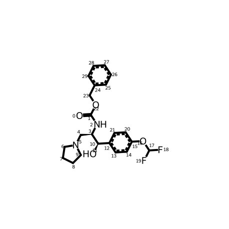 O=C(N[C@H](CN1CCCC1)[C@H](O)c1ccc(OC(F)F)cc1)OCc1ccccc1